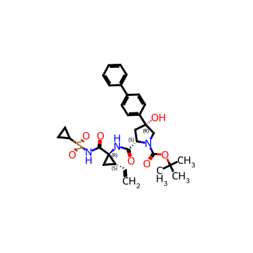 C=C[C@@H]1C[C@]1(NC(=O)[C@@H]1C[C@@](O)(c2ccc(-c3ccccc3)cc2)CN1C(=O)OC(C)(C)C)C(=O)NS(=O)(=O)C1CC1